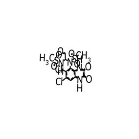 CS(=O)(=O)NC(C=O)N(c1c(Cl)c(Cl)cc2[nH]c(=O)c(=O)[nH]c12)S(C)(=O)=O